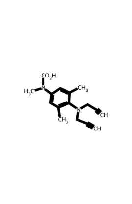 C#CCN(CC#C)c1c(C)cc(N(C)C(=O)O)cc1C